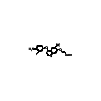 [C-]#[N+]c1cc2c(Oc3ccc(N)c(F)c3)ccnc2cc1OCCOC